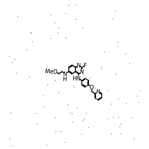 COCCNc1ccc2nc(F)nc(Nc3ccc(OCc4ccccn4)cc3)c2c1